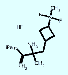 C=C(C(C)CCC)C(C)(C)CC1CC(S(C)(F)F)C1.F